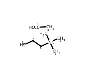 CC(=O)O.C[N+](C)(C)CCS